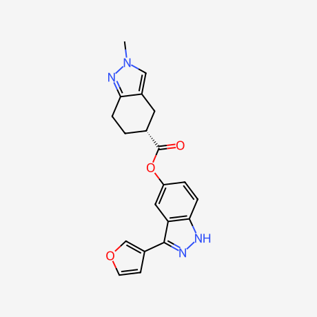 Cn1cc2c(n1)CC[C@@H](C(=O)Oc1ccc3[nH]nc(-c4ccoc4)c3c1)C2